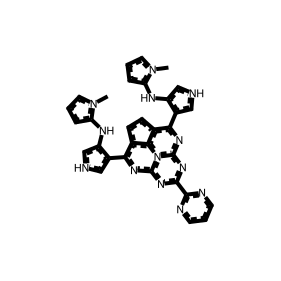 Cn1cccc1Nc1c[nH]cc1-c1nc2nc(-c3ncccn3)nc3nc(-c4c[nH]cc4Nc4cccn4C)c4ccc1c4n23